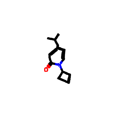 CC(C)c1ccn(C2CCC2)c(=O)c1